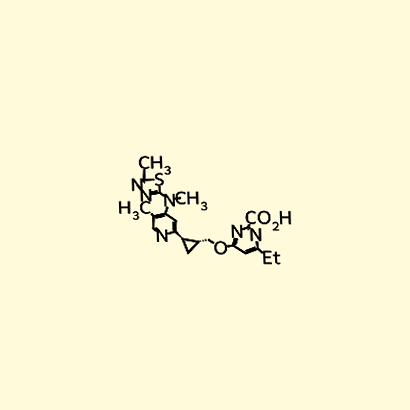 CCc1cc(OC[C@@H]2C[C@H]2c2cc(N(C)c3nnc(C)s3)c(C)cn2)nc(C(=O)O)n1